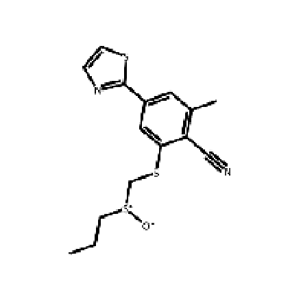 CCC[S+]([O-])CSc1cc(-c2nccs2)cc(C)c1C#N